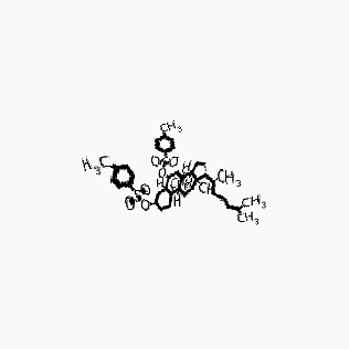 CC(C)=CCC[C@@H](C)[C@H]1CC[C@H]2[C@@H]3C[C@H](OS(=O)(=O)c4ccc(C)cc4)[C@@H]4C[C@H](OS(=O)(=O)c5ccc(C)cc5)CC[C@]4(C)[C@H]3CC[C@]12C